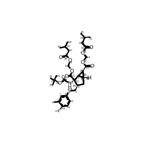 Cc1cc(SC[C@@H]2C[C@@H]3C([C@H]3C(=O)OCOC(=O)CC(C)C)[C@]2(NC(=O)OC(C)(C)C)C(=O)OCOC(=O)CC(C)C)ccc1F